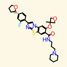 CC1(Oc2cc3c(cc2C(=O)NCCCN2CCCCC2)sc2nc(-c4ccc([C@@H]5CCCO5)cc4F)cn23)COC1